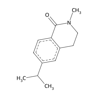 CC(C)c1ccc2c(c1)CCN(C)C2=O